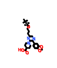 CC(C)(C)[Si](C)(C)OCCCc1cnc(-c2ccc3c(c2)OCO3)c(N2CCC(C(=O)O)CC2)n1